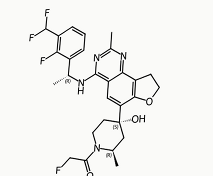 Cc1nc(N[C@H](C)c2cccc(C(F)F)c2F)c2cc([C@]3(O)CCN(C(=O)CF)[C@H](C)C3)c3c(c2n1)CCO3